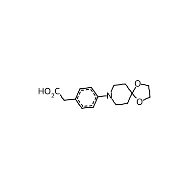 O=C(O)Cc1ccc(N2CCC3(CC2)OCCO3)cc1